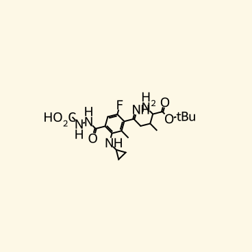 Cc1c(NC2CC2)c(C(=O)NNC(=O)O)cc(F)c1C(=N)CC(C)C(N)C(=O)OC(C)(C)C